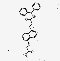 COC(=O)COc1cccc2c(CCC(=O)NC(c3ccccc3)c3ccccc3)cccc12